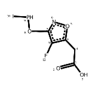 O=C(O)Cc1onc(OPI)c1F